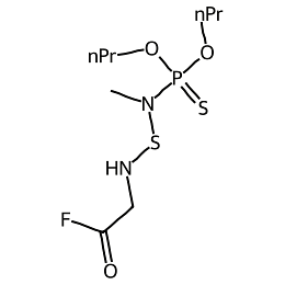 CCCOP(=S)(OCCC)N(C)SNCC(=O)F